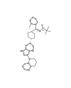 CC(C)(C)[S@@+]([O-])/N=C1\c2ccccc2C[C@]12CC[C@@H](c1cnc3c(N4CCCc5ncccc54)n[nH]c3n1)CC2